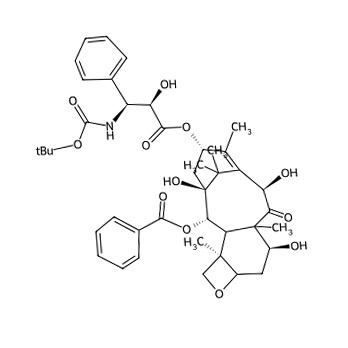 CC1=C2[C@@H](O)C(=O)C3(C)C([C@H](OC(=O)c4ccccc4)[C@](O)(C[C@@H]1OC(=O)[C@H](O)[C@@H](NC(=O)OC(C)(C)C)c1ccccc1)C2(C)C)[C@]1(C)COC1C[C@@H]3O